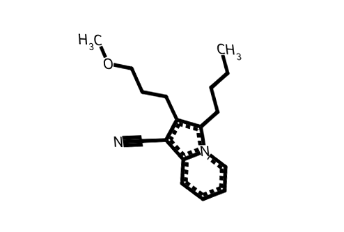 CCCCc1c(CCCOC)c(C#N)c2ccccn12